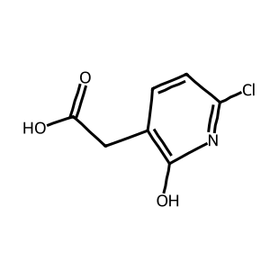 O=C(O)Cc1ccc(Cl)nc1O